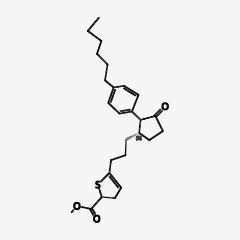 CCCCCCc1ccc(C2C(=O)CC[C@@H]2CCCC2=CCC(C(=O)OC)S2)cc1